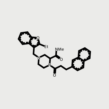 CCc1oc2ccccc2c1CN1CCN(C(=O)CCc2ccc3ccccc3c2)C(C(=O)NC)C1